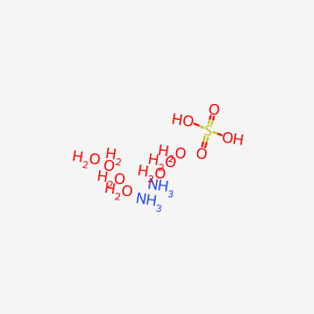 N.N.O.O.O.O.O.O.O.O=S(=O)(O)O